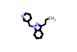 CCCc1nn(Cc2cccnc2)c2ccccc12